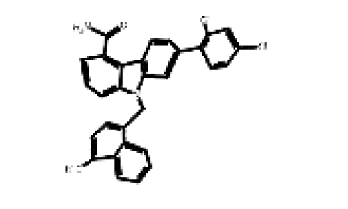 Cc1ccc(Cn2c3cc(-c4ccc(Cl)cc4Cl)c[c]c3c3c(C(N)=O)cccc32)c2ccccc12